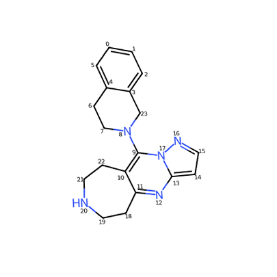 c1ccc2c(c1)CCN(c1c3c(nc4ccnn14)CCNCC3)C2